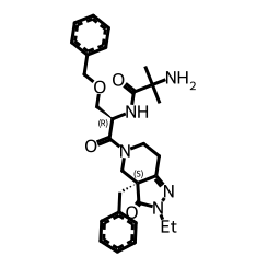 CCN1N=C2CCN(C(=O)[C@@H](COCc3ccccc3)NC(=O)C(C)(C)N)C[C@]2(Cc2ccccc2)C1=O